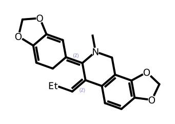 CC/C=C1\C(=C2\C=C3OCOC3=CC2)N(C)Cc2c1ccc1c2OCO1